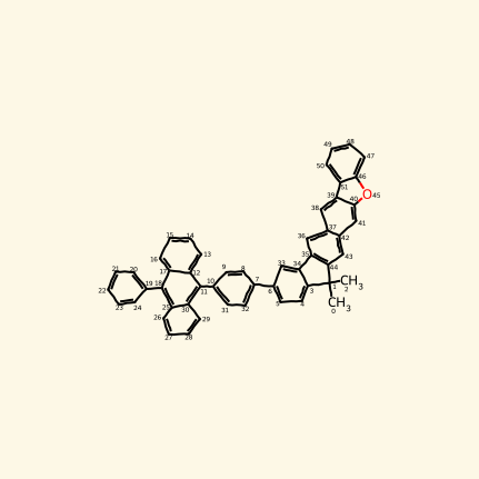 CC1(C)c2ccc(-c3ccc(-c4c5ccccc5c(-c5ccccc5)c5ccccc45)cc3)cc2-c2cc3cc4c(cc3cc21)oc1ccccc14